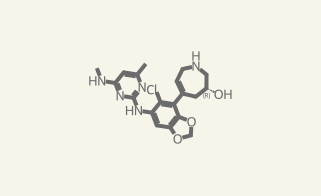 CNc1cc(C)nc(Nc2cc3c(c(C4=CCNC[C@H](O)C4)c2Cl)OCO3)n1